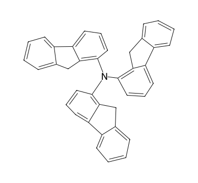 c1ccc2c(c1)Cc1c-2cccc1N(c1cccc2c1Cc1ccccc1-2)c1cccc2c1Cc1ccccc1-2